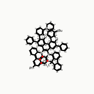 CC(C)c1ccc2c(c1)=C1C=CC=CC1N(c1c(N(c3ccccc3)c3cccc4c3C(C)(C)c3ccccc3-4)c3cc(-c4ccccc4)c4oc5c(C(C)(C)C)cccc5c4c3c3c1cc(-c1ccccc1)c1c4cccc(N5C=CC=CC5)c4oc13)C=2